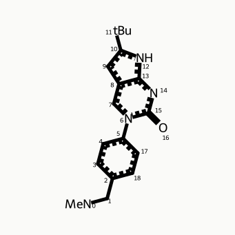 CNCc1ccc(-n2cc3cc(C(C)(C)C)[nH]c3nc2=O)cc1